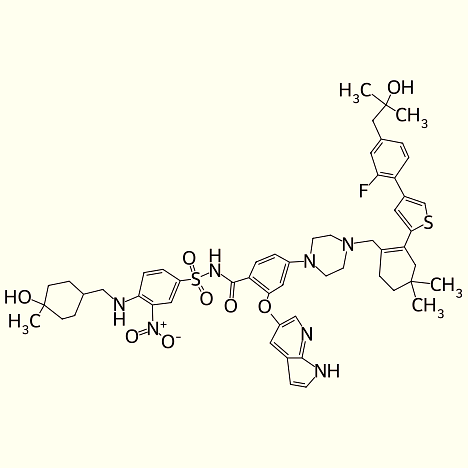 CC(C)(O)Cc1ccc(-c2csc(C3=C(CN4CCN(c5ccc(C(=O)NS(=O)(=O)c6ccc(NCC7CCC(C)(O)CC7)c([N+](=O)[O-])c6)c(Oc6cnc7[nH]ccc7c6)c5)CC4)CCC(C)(C)C3)c2)c(F)c1